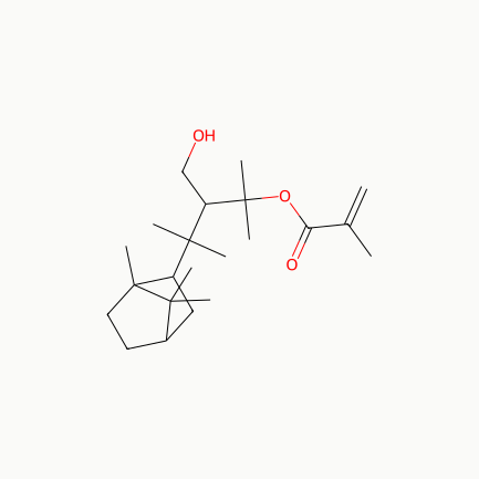 C=C(C)C(=O)OC(C)(C)C(CO)C(C)(C)C1CC2CCC1(C)C2(C)C